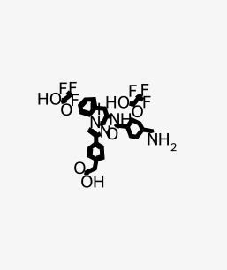 NCC1CCC(C(=O)NC(Cc2ccccc2)c2nc(-c3ccc(CC(=O)O)cc3)c[nH]2)CC1.O=C(O)C(F)(F)F.O=C(O)C(F)(F)F